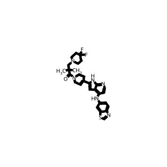 CC(C)(CN1CCC(F)(F)CC1)C(=O)N1CC=C(c2cc3c(Nc4ccc5ncsc5c4)ccnc3[nH]2)CC1